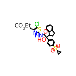 CCOC(=O)Cc1nc(NC(=O)C(O)(c2ccc(S(=O)(=O)C3CC3)cc2)C2CCc3ccccc32)sc1Cl